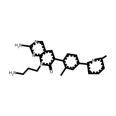 Cc1cccc(-c2ccc(-c3cc4cnc(N)nc4n(CCCN)c3=O)c(C)c2)n1